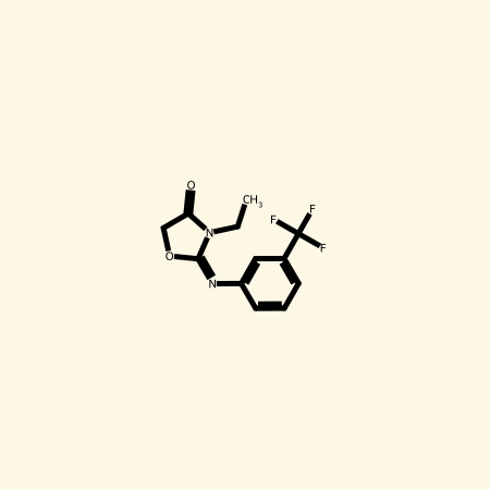 CCN1C(=O)COC1=Nc1cccc(C(F)(F)F)c1